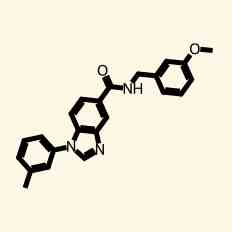 COc1cccc(CNC(=O)c2ccc3c(c2)ncn3-c2cccc(C)c2)c1